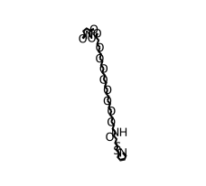 O=C(CCSSc1ccccn1)NCCOCCOCCOCCOCCOCCOCCOCCOCCC(=O)ON1C(=O)CCC1=O